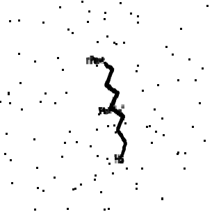 CCCCCCCCCCCCS.[PbH2]